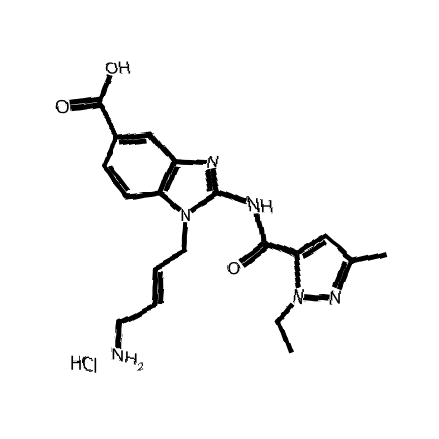 CCn1nc(C)cc1C(=O)Nc1nc2cc(C(=O)O)ccc2n1CC=CCN.Cl